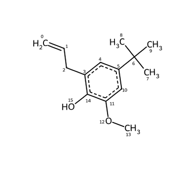 C=CCc1cc(C(C)(C)C)cc(OC)c1O